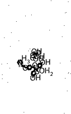 CCO.O.O=C(O)C(=O)O.O=C(c1ccc(OCCN2CCCCC2)cc1)c1c(-c2ccc(O)cc2)sc2cc(O)ccc12